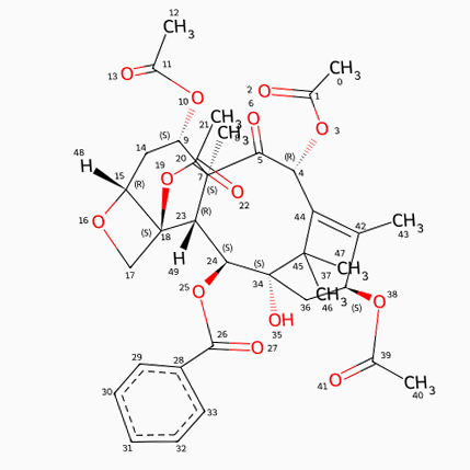 CC(=O)O[C@H]1C(=O)[C@]2(C)[C@@H](OC(C)=O)C[C@H]3OC[C@@]3(OC(C)=O)[C@H]2[C@H](OC(=O)c2ccccc2)[C@]2(O)C[C@H](OC(C)=O)C(C)=C1C2(C)C